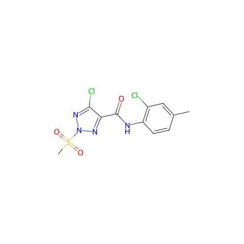 Cc1ccc(NC(=O)c2nn(S(C)(=O)=O)nc2Cl)c(Cl)c1